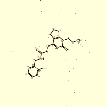 O=C(COc1nc(=O)n(CCO)c2c1CCC2)NCc1ccccc1Cl